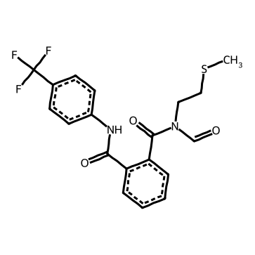 CSCCN(C=O)C(=O)c1ccccc1C(=O)Nc1ccc(C(F)(F)F)cc1